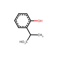 CC(c1ccccc1O)S(=O)(=O)O